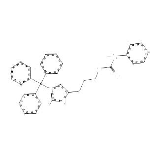 O=C(Nc1ccccc1)OCCCc1cn(C(c2ccccc2)(c2ccccc2)c2ccccc2)c(F)n1